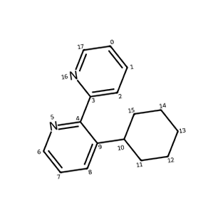 c1ccc(-c2ncccc2C2CCCCC2)nc1